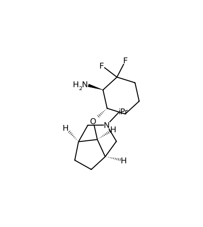 CC(C)N1C[C@H]2CC[C@@H](C1)[C@H]2O[C@H]1CCCC(F)(F)[C@@H]1N